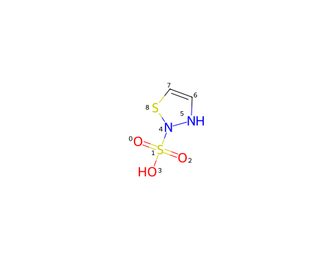 O=S(=O)(O)N1NC=CS1